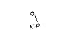 O[C@@H]1C[C@H](O)[C@H](CCCCCc2ccccc2)[C@H]1CC1OCCO1